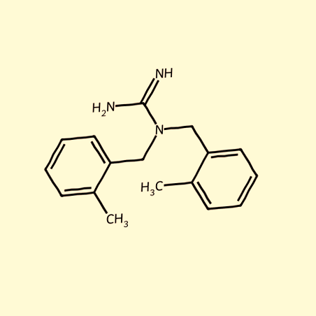 Cc1ccccc1CN(Cc1ccccc1C)C(=N)N